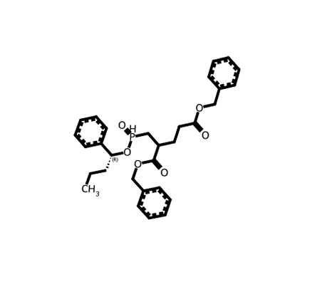 CCC[C@@H](O[PH](=O)CC(CCC(=O)OCc1ccccc1)C(=O)OCc1ccccc1)c1ccccc1